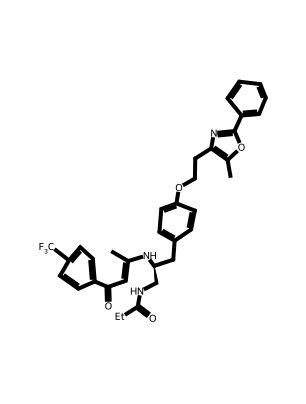 CCC(=O)NC[C@H](Cc1ccc(OCCc2nc(-c3ccccc3)oc2C)cc1)NC(C)=CC(=O)c1ccc(C(F)(F)F)cc1